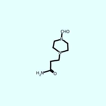 NC(=O)CCN1CCN(C=O)CC1